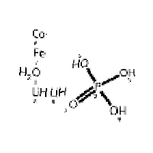 O.O=P(O)(O)O.[Co].[Fe].[LiH].[LiH]